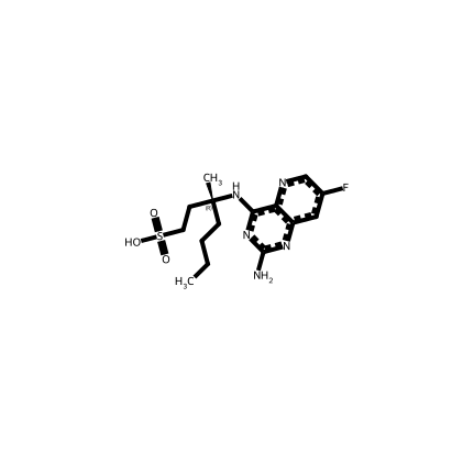 CCCC[C@](C)(CCS(=O)(=O)O)Nc1nc(N)nc2cc(F)cnc12